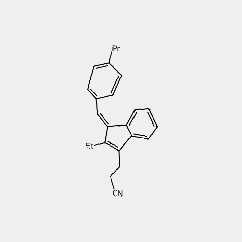 CCC1=C(CCC#N)c2ccccc2C1=Cc1ccc(C(C)C)cc1